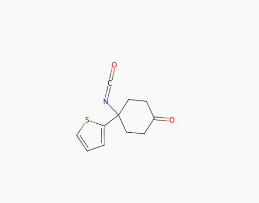 O=C=NC1(c2cccs2)CCC(=O)CC1